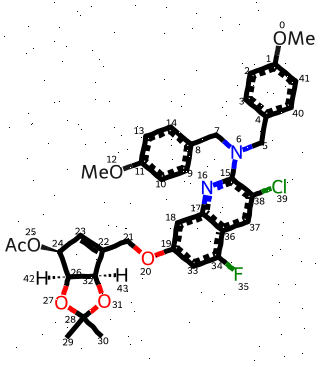 COc1ccc(CN(Cc2ccc(OC)cc2)c2nc3cc(OCC4=C[C@H](OC(C)=O)[C@@H]5OC(C)(C)O[C@H]45)cc(F)c3cc2Cl)cc1